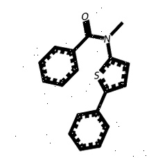 CN(C(=O)c1ccccc1)c1ccc(-c2ccccc2)s1